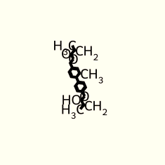 C=C(C)C(=O)OCC1=CC(C)C(c2ccc(OC(O)C(=C)C)cc2)C=C1